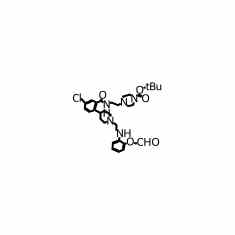 CC(C)(C)OC(=O)N1CCN(CCNC(=O)c2cc(Cl)ccc2C2CCN(CCNc3ccccc3OCC=O)CC2)CC1